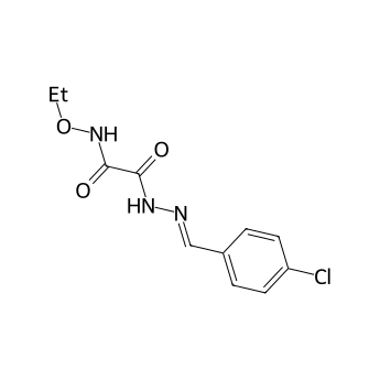 CCONC(=O)C(=O)NN=Cc1ccc(Cl)cc1